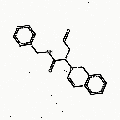 O=CCC(C(=O)NCc1ccccn1)N1C=Cc2ccccc2C1